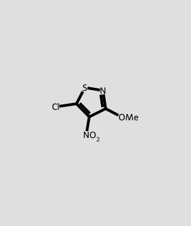 COc1nsc(Cl)c1[N+](=O)[O-]